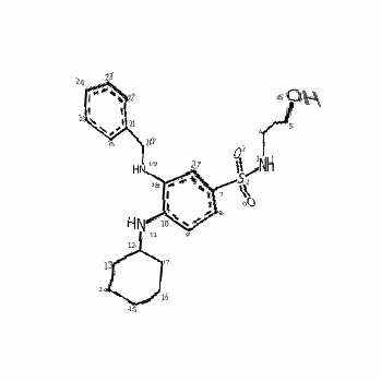 O=S(=O)(NCCO)c1ccc(NC2CCCCC2)c(NCc2ccccc2)c1